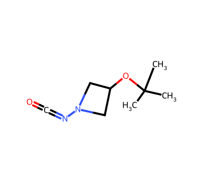 CC(C)(C)OC1CN(N=C=O)C1